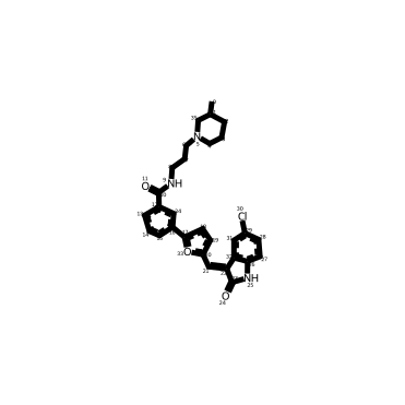 CC1CCCN(CCCNC(=O)c2cccc(-c3ccc(/C=C4/C(=O)Nc5ccc(Cl)cc54)o3)c2)C1